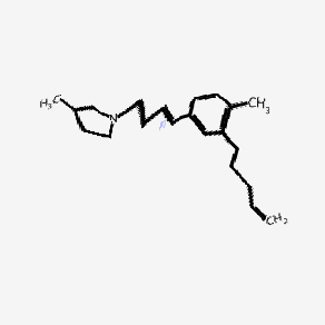 C=CCCCc1cc(/C=C/CCN2CCC(C)C2)ccc1C